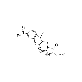 CCN(CC)c1ccc2c(c1)OC(=O)C(CN1C(=O)NC(CC(C)C)C1=O)C2C